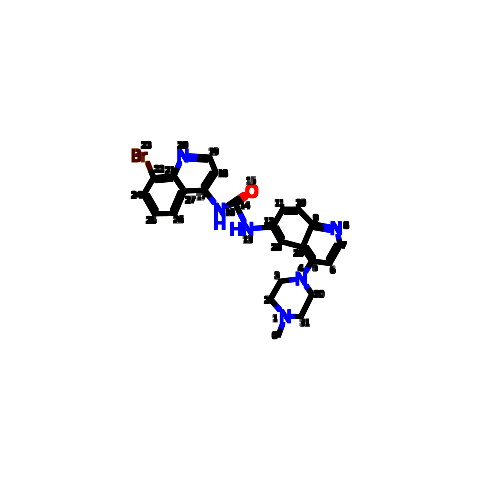 CN1CCN(c2ccnc3ccc(NC(=O)Nc4ccnc5c(Br)cccc45)cc23)CC1